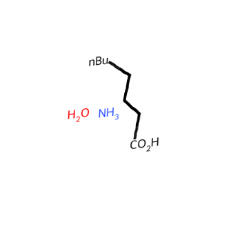 CCCCCCCC(=O)O.N.O